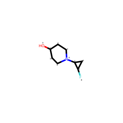 OC1CCN(C2CC2F)CC1